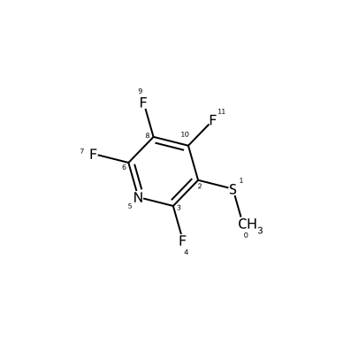 CSc1c(F)nc(F)c(F)c1F